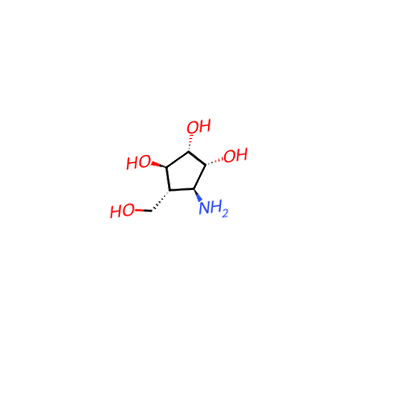 N[C@@H]1[C@@H](O)[C@@H](O)[C@H](O)[C@H]1CO